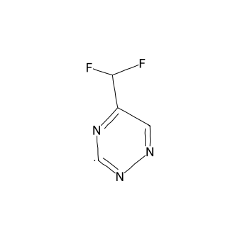 FC(F)c1cnn[c]n1